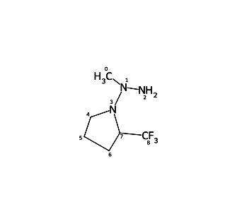 CN(N)N1CCCC1C(F)(F)F